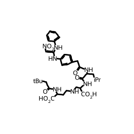 CC(C)CC(NC(=O)Cc1ccc(NC(=C[N+](=O)[O-])Nc2ccccc2)cc1)C(=O)NC(CNCCC(NC(=O)CC(C)(C)C)C(=O)O)C(=O)O